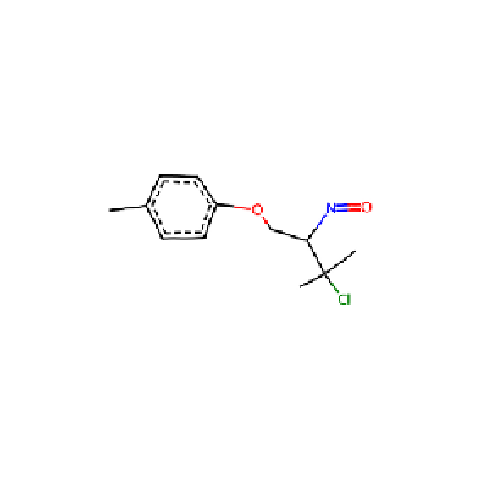 Cc1ccc(OCC(N=O)C(C)(C)Cl)cc1